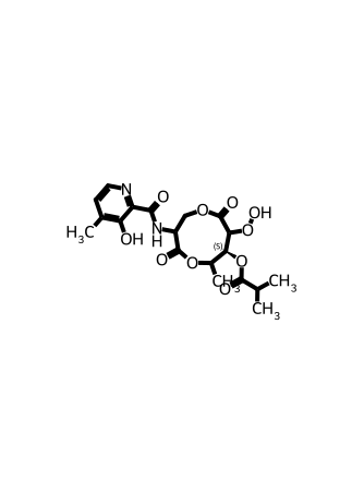 Cc1ccnc(C(=O)NC2COC(=O)C(OO)[C@@H](OC(=O)C(C)C)C(C)OC2=O)c1O